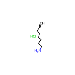 C#CCCCCCCN.Cl